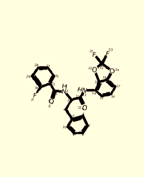 O=C(NC(Cc1ccccc1)C(=O)Nc1cccc2c1OC(F)(F)O2)c1ccccc1F